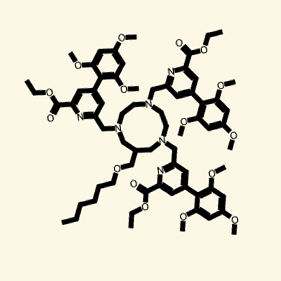 CCCCCCOCC1CN(Cc2cc(-c3c(OC)cc(OC)cc3OC)cc(C(=O)OCC)n2)CCN(Cc2cc(-c3c(OC)cc(OC)cc3OC)cc(C(=O)OCC)n2)CCN(Cc2cc(-c3c(OC)cc(OC)cc3OC)cc(C(=O)OCC)n2)C1